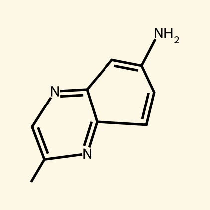 Cc1cnc2cc(N)ccc2n1